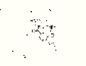 CC(C)CC[C@@]1(C(=O)c2ccc(N)c(Cl)c2)CCNC1